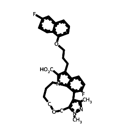 Cc1nn(C)c2c1-c1c(F)ccc3c(CCCOc4cccc5cc(F)ccc45)c(C(=O)O)n(c13)CCCCOC2